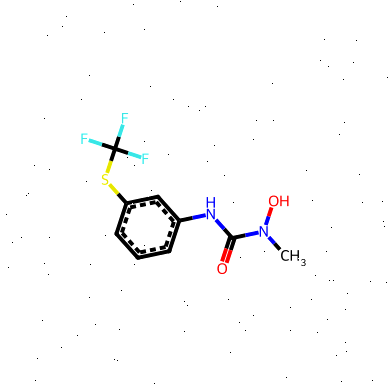 CN(O)C(=O)Nc1cccc(SC(F)(F)F)c1